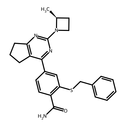 C[C@H]1CCN1c1nc2c(c(-c3ccc(C(N)=O)c(SCc4ccccc4)c3)n1)CCC2